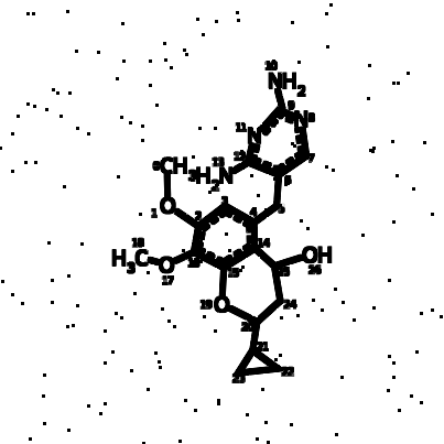 COc1cc(Cc2cnc(N)nc2N)c2c(c1OC)OC(C1CC1)CC2O